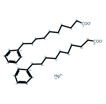 O=C([O-])CCCCCCCCCc1ccccc1.O=C([O-])CCCCCCCCCc1ccccc1.[Hg+2]